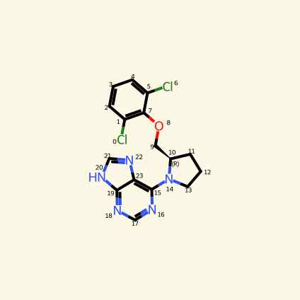 Clc1cccc(Cl)c1OC[C@H]1CCCN1c1ncnc2[nH]cnc12